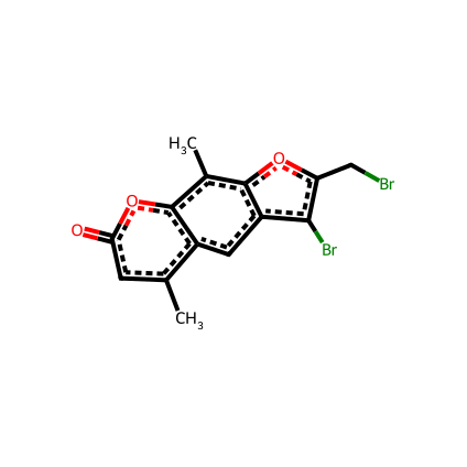 Cc1cc(=O)oc2c(C)c3oc(CBr)c(Br)c3cc12